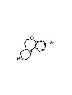 Brc1cnc2c(c1)OCCC1CNCCN21